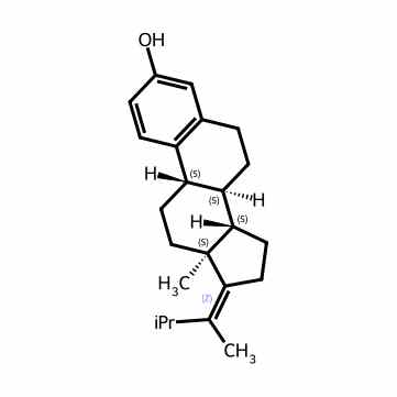 C/C(=C1\CC[C@H]2[C@@H]3CCc4cc(O)ccc4[C@H]3CC[C@]12C)C(C)C